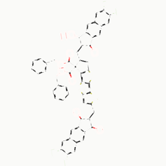 O=C1C(=Cc2cc3sc4c5c(sc4c3s2)C=C(/C=C2\C(=O)c3cc4cc(F)c(F)cc4cc3C2O)C5(C(=O)OCc2ccccc2)C(=O)OCc2ccccc2)C(=O)c2cc3cc(F)c(F)cc3cc21